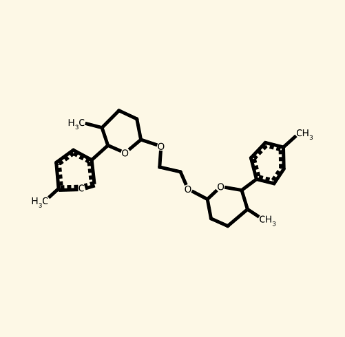 Cc1ccc(C2OC(OCCOC3CCC(C)C(c4ccc(C)cc4)O3)CCC2C)cc1